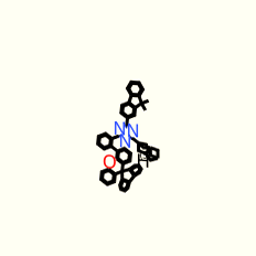 CC1(C)c2ccccc2-c2ccc(-c3nc(-c4ccccc4-c4cccc5c4Oc4ccccc4C54c5ccccc5-c5ccccc54)nc(C45CC6C7C[C@@H](C4)C6(C7)C5)n3)cc21